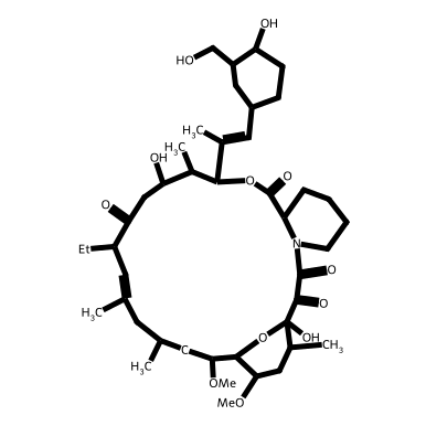 CCC1/C=C(\C)CC(C)CC(OC)C2OC(O)(C(=O)C(=O)N3CCCCC3C(=O)OC(/C(C)=C/C3CCC(O)C(CO)C3)C(C)C(O)CC1=O)C(C)CC2OC